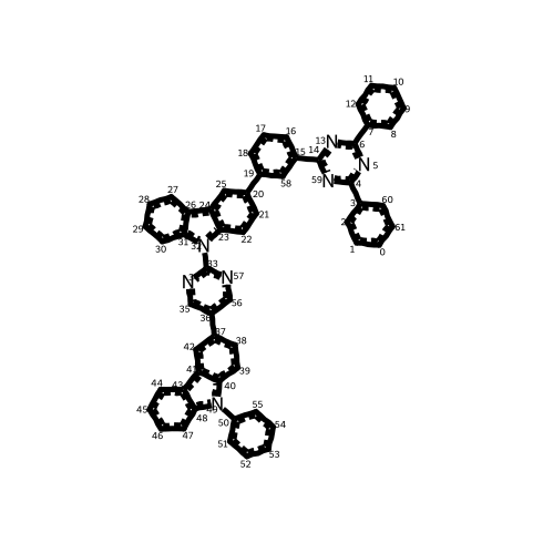 c1ccc(-c2nc(-c3ccccc3)nc(-c3cccc(-c4ccc5c(c4)c4ccccc4n5-c4ncc(-c5ccc6c(c5)c5ccccc5n6-c5ccccc5)cn4)c3)n2)cc1